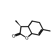 CC1=CC2OC(=O)[C@@H](C)C2CC1